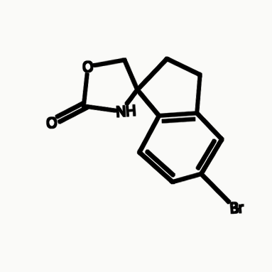 O=C1NC2(CCc3cc(Br)ccc32)CO1